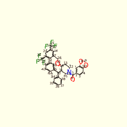 O=C(c1ccc2c(c1)OCO2)N1CC[C@H](OCc2cc(C(F)(F)F)cc(C(F)(F)F)c2)[C@H](C(c2ccccc2)c2ccccc2)C1